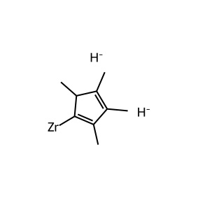 CC1=C(C)C(C)[C]([Zr])=C1C.[H-].[H-]